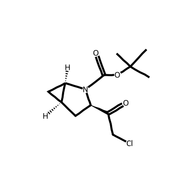 CC(C)(C)OC(=O)N1[C@@H](C(=O)CCl)C[C@H]2C[C@H]21